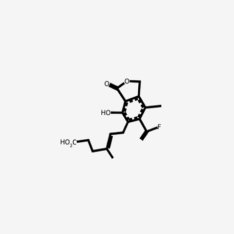 C=C(F)c1c(C)c2c(c(O)c1C/C=C(\C)CCC(=O)O)C(=O)OC2